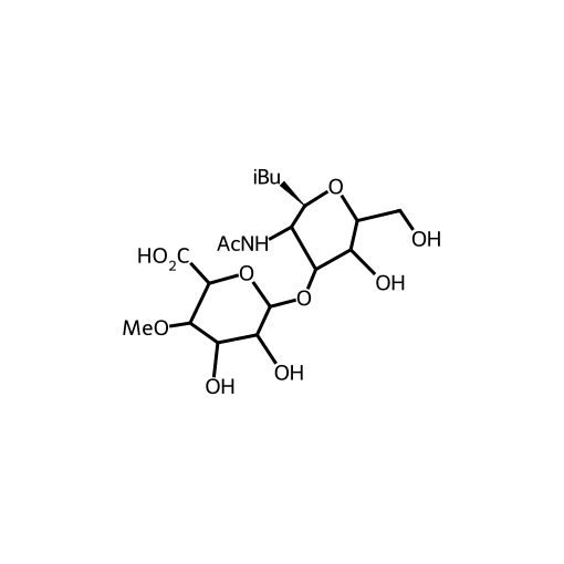 CCC(C)[C@H]1OC(CO)C(O)C(OC2OC(C(=O)O)C(OC)C(O)C2O)C1NC(C)=O